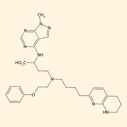 Cn1ncc2c(NC(CCN(CCCCc3ccc4c(n3)NCCC4)CCOc3ccccc3)C(=O)O)ncnc21